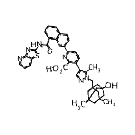 Cc1c(-c2ccc(-c3ccc4cccc(C(=O)Nc5nc6ncccc6s5)c4c3)nc2C(=O)O)cnn1CC12CC3(C)CC(C)(CC(O)(C3)C1)C2